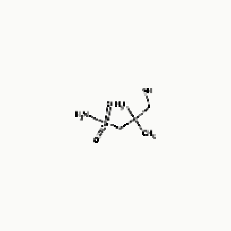 CC(C)(CS)CS(N)(=O)=O